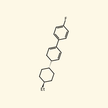 CC[C@H]1CC[C@H](C2C=CC(c3ccc(F)cc3)=CC2)CC1